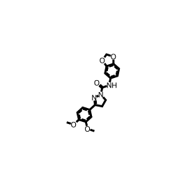 COc1ccc(C2=NN(C(=O)Nc3ccc4c(c3)OCO4)CC2)cc1OC